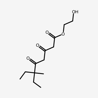 CCC(C)(CC)C(=O)CC(=O)CC(=O)OCCO